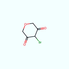 O=C1COCC(=O)C1Br